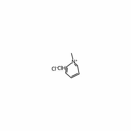 C[n+]1ccccc1.Cl.[Cl-]